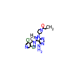 C=CC(=O)N1CCC(n2nc(N[C@@H](C)c3c(Cl)cncc3Cl)c3c(N)ncnc32)C1